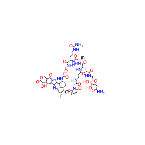 Cc1c(F)cc2nc3c(c4c2c1CC[C@@H]4NC(=O)COCNC(=O)[C@H](CCCNC(N)=O)NC(=O)[C@@H](NC(=O)[C@H](CCC(=O)NC[C@H]1O[C@@H](CC(N)=O)[C@H](O)[C@@H]1O)NC(=O)CCNC(=O)CN1C(=O)C=CC1=O)C(C)C)Cn1c-3cc2c(c1=O)COC(=O)[C@H]2O